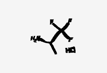 CC(N)C(F)(F)F.Cl